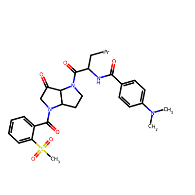 CC(C)CC(NC(=O)c1ccc(N(C)C)cc1)C(=O)N1CCC2C1C(=O)CN2C(=O)c1ccccc1S(C)(=O)=O